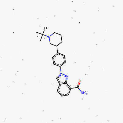 CCC(C)(C)N1CCC[C@@H](c2ccc(-n3cc4cccc(C(N)=O)c4n3)cc2)C1